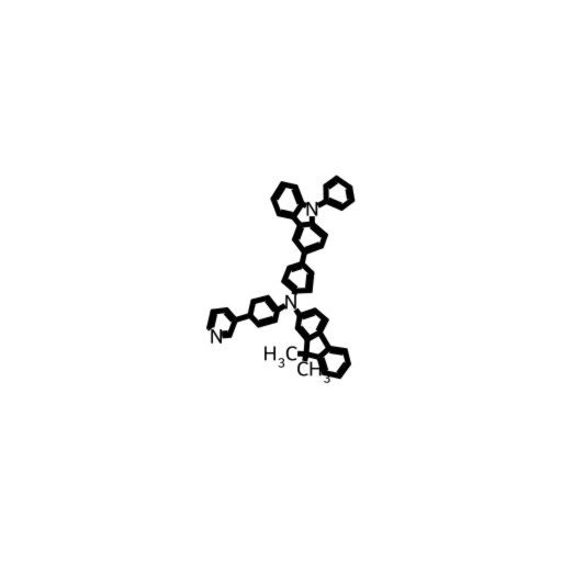 CC1(C)c2ccccc2-c2ccc(N(C3=CCC(c4cccnc4)C=C3)c3ccc(-c4ccc5c(c4)c4ccccc4n5-c4ccccc4)cc3)cc21